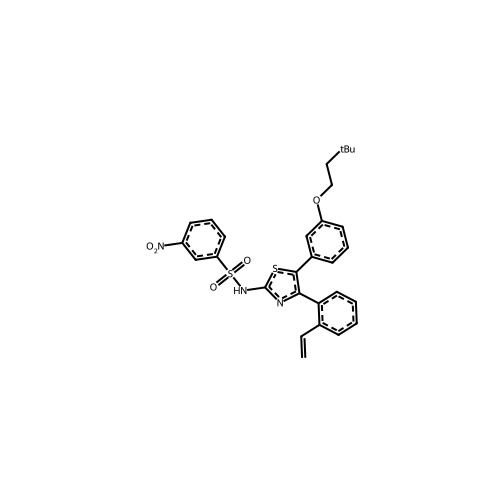 C=Cc1ccccc1-c1nc(NS(=O)(=O)c2cccc([N+](=O)[O-])c2)sc1-c1cccc(OCCC(C)(C)C)c1